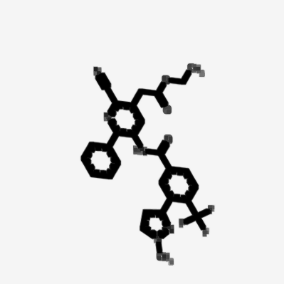 CCOC(=O)Cc1cc(NC(=O)c2ccc(C(F)(F)F)c(-c3ccn(C)n3)c2)c(-c2ccccc2)nc1C#N